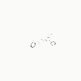 Cc1cc(C(=O)O)cnc1N1CCN(c2cc(-c3cccc(Cl)c3)nc(N3CCC[C@H]3C)n2)[C@H](C)C1